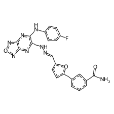 NC(=O)c1cccc(-c2ccc(/C=N/Nc3nc4nonc4nc3Nc3ccc(F)cc3)o2)c1